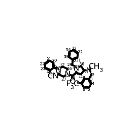 CN(Cc1cccc(C(F)(F)F)c1)C1CC(C(=O)N2CCN(c3ccccc3C#N)CC2)N(Cc2ccccc2)C1